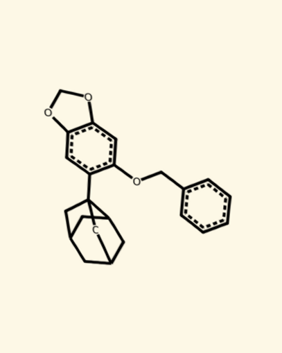 c1ccc(COc2cc3c(cc2C24CC5CC(CC2C5)C4)OCO3)cc1